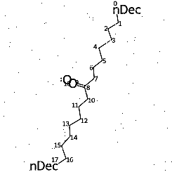 CCCCCCCCCCCCCCCCCC(=O)CCCCCCCCCCCCCCCCC.[O]